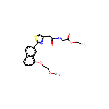 CCOC(=O)CNC(=O)Cc1csc(-c2ccc3cccc(OCCOC)c3c2)n1